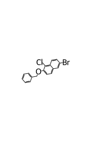 Clc1c(OCc2ccccc2)ccc2cc(Br)ccc12